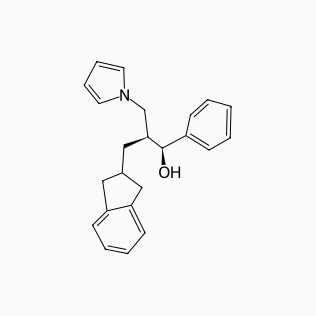 O[C@H](c1ccccc1)[C@@H](CC1Cc2ccccc2C1)Cn1cccc1